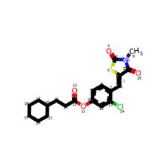 CN1C(=O)S/C(=C\c2ccc(OC(=O)CCC3CCCCC3)cc2Cl)C1=O